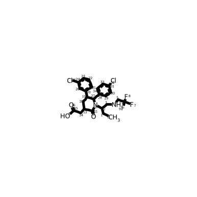 CCC(CNCC(F)(F)F)N1C(=O)C(CC(=O)O)CC(c2cccc(Cl)c2)C1c1ccc(Cl)cc1